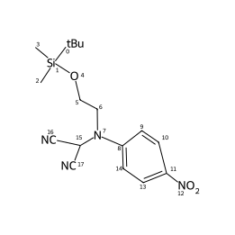 CC(C)(C)[Si](C)(C)OCCN(c1ccc([N+](=O)[O-])cc1)C(C#N)C#N